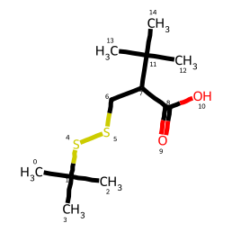 CC(C)(C)SSCC(C(=O)O)C(C)(C)C